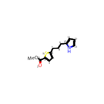 COC(=O)c1ccc(CCCc2ccc[nH]2)s1